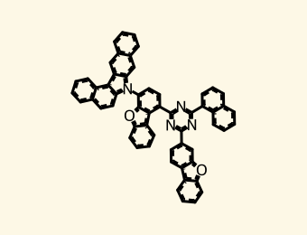 c1ccc2cc3c(cc2c1)c1c2ccccc2ccc1n3-c1ccc(-c2nc(-c3ccc4c(c3)oc3ccccc34)nc(-c3cccc4ccccc34)n2)c2c1oc1ccccc12